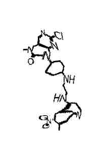 Cc1cc2nccc(NCCNC3CCC(n4c(=O)n(C)c5cnc(Cl)nc54)CC3)c2cc1[N+](=O)[O-]